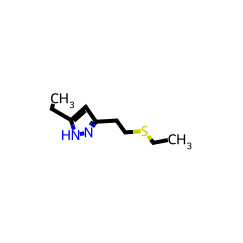 CCSCCc1cc(CC)[nH]n1